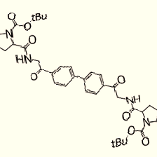 CC(C)(C)OC(=O)N1CCCC1C(=O)NCC(=O)c1ccc(-c2ccc(C(=O)CNC(=O)C3CCCN3C(=O)OC(C)(C)C)cc2)cc1